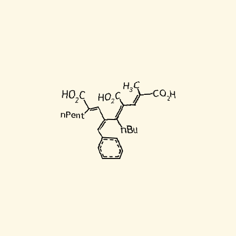 CCCCCC(=CC(=Cc1ccccc1)C(CCCC)=C(C=C(C)C(=O)O)C(=O)O)C(=O)O